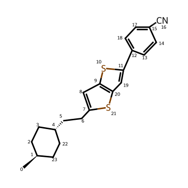 C[C@H]1CC[C@H](CCc2cc3sc(-c4ccc(C#N)cc4)cc3s2)CC1